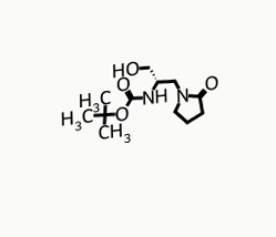 CC(C)(C)OC(=O)N[C@H](CO)CN1CCCC1=O